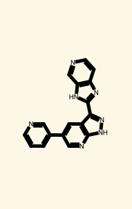 c1cncc(-c2cnc3[nH]nc(-c4nc5ccncc5[nH]4)c3c2)c1